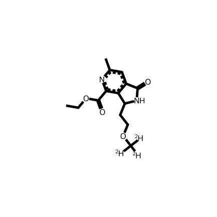 [2H]C([2H])([2H])OCCC1NC(=O)c2cc(C)nc(C(=O)OCC)c21